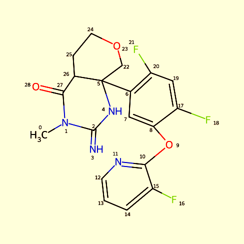 CN1C(=N)NC2(c3cc(Oc4ncccc4F)c(F)cc3F)COCCC2C1=O